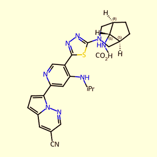 CC(C)Nc1cc(-c2ccc3cc(C#N)cnn23)ncc1-c1nnc(N2C[C@H]3CC[C@@H](C2)[C@@H]3NC(=O)O)s1